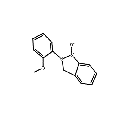 COc1ccccc1N1Cc2ccccc2[S+]1[O-]